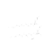 CCCCCCCCCCCCCCCCCCN(C)CCC(=O)[O-].CCCCCCCCCCCCCCCCCCN(C)CCC(=O)[O-].[Zn+2]